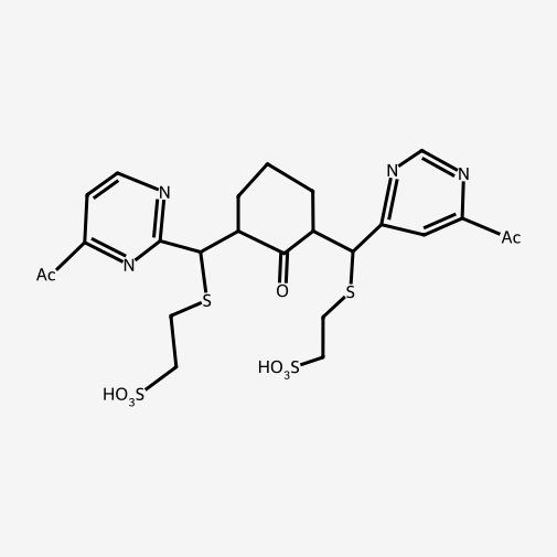 CC(=O)c1cc(C(SCCS(=O)(=O)O)C2CCCC(C(SCCS(=O)(=O)O)c3nccc(C(C)=O)n3)C2=O)ncn1